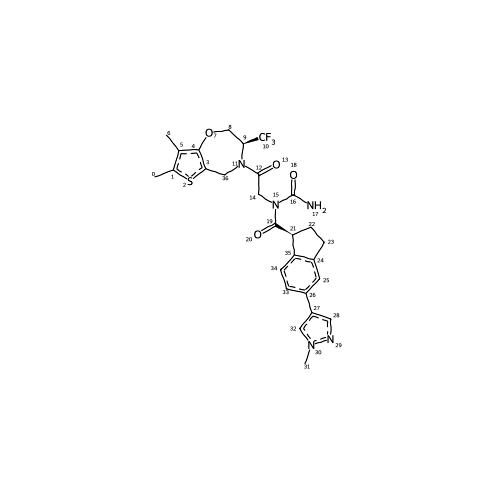 Cc1sc2c(c1C)OC[C@@H](C(F)(F)F)N(C(=O)CN(C(N)=O)C(=O)[C@H]1CCc3cc(-c4cnn(C)c4)ccc31)C2